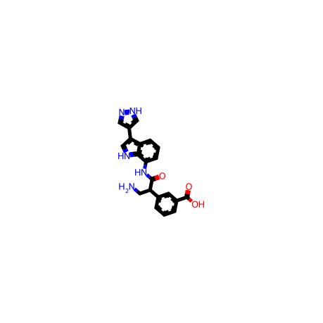 NCC(C(=O)Nc1cccc2c(-c3cn[nH]c3)c[nH]c12)c1cccc(C(=O)O)c1